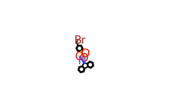 O=S(=O)(ON=C1c2ccccc2-c2ccccc21)c1ccc(CBr)cc1